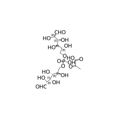 CC(=O)C(=O)O.O=C[C@H](O)[C@@H](O)[C@H](O)[C@H](O)COP(=O)(O)OC[C@@H](O)[C@@H](O)[C@H](O)[C@@H](O)C=O